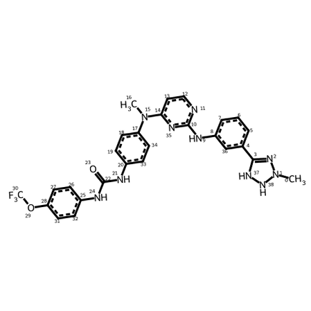 CN1N=C(c2cccc(Nc3nccc(N(C)c4ccc(NC(=O)Nc5ccc(OC(F)(F)F)cc5)cc4)n3)c2)NN1